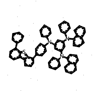 c1ccc(-c2cccc3c2sc2c(-c4ccc(N(c5ccccc5)c5cc(N(c6ccccc6)c6cccc7ccccc67)cc(N(c6ccccc6)c6cccc7ccccc67)c5)cc4)cccc23)cc1